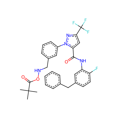 CC(C)(C)C(=O)ONCc1cccc(-n2nc(C(F)(F)F)cc2C(=O)Nc2cc(Cc3ccccc3)ccc2F)c1